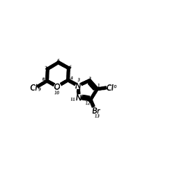 Clc1cn(C2CCCC(Cl)O2)nc1Br